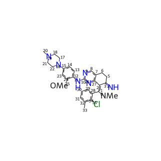 CN/C(=C1\C(=N)CCc2cnc(Nc3ccc(N4CCN(C)CC4)cc3OC)nc21)c1cccc(C)c1Cl